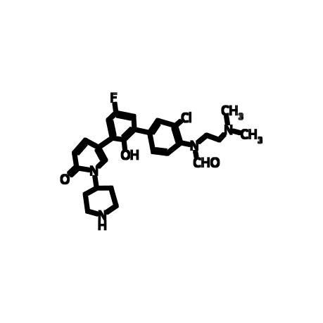 CN(C)CCN(C=O)c1ccc(-c2cc(F)cc(-c3ccc(=O)n(C4CCNCC4)c3)c2O)cc1Cl